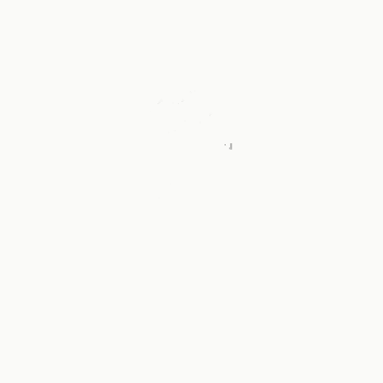 CCCCCCCCCCc1cccc2cccc(CN)c12